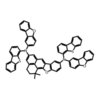 CC1(C)CCc2cc(N(c3ccc4oc5ccccc5c4c3)c3cccc4c3sc3ccccc34)cc3cc4c(oc5ccc(N(c6ccc7oc8ccccc8c7c6)c6cccc7c6sc6ccccc67)cc54)c1c23